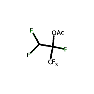 CC(=O)OC(F)(C(F)F)C(F)(F)F